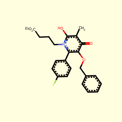 CCOC(=O)CCCn1c(O)c(C)c(=O)c(OCc2ccccc2)c1-c1ccc(F)cc1